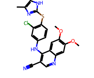 COc1cc2ncc(C#N)c(Nc3ccc(Sc4nc(C)c[nH]4)c(Cl)c3)c2cc1OC